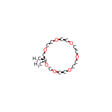 C[Si]1(C)COCCOCCOCCOCCOCCOCO1